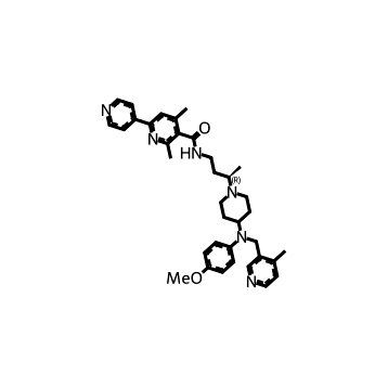 COc1ccc(N(Cc2cnccc2C)C2CCN([C@H](C)CCNC(=O)c3c(C)cc(-c4ccncc4)nc3C)CC2)cc1